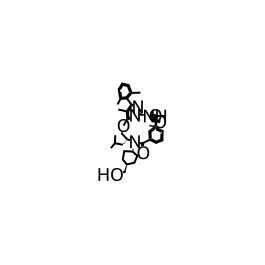 Cc1cccc(C)c1-c1nc2nc(c1C)OC[C@@H](CC(C)C)N([C@H]1CC[C@H](CO)CC1)C(=O)c1cccc(c1)S(=O)(=O)N2